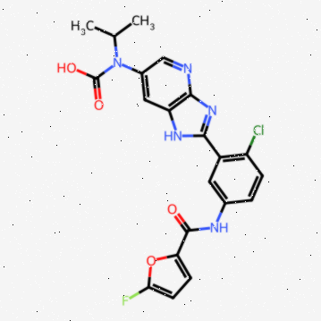 CC(C)N(C(=O)O)c1cnc2nc(-c3cc(NC(=O)c4ccc(F)o4)ccc3Cl)[nH]c2c1